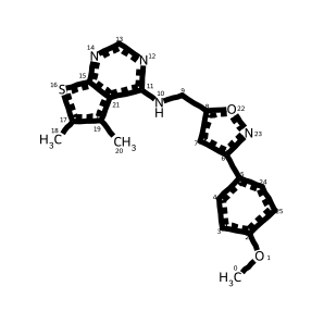 COc1ccc(-c2cc(CNc3ncnc4sc(C)c(C)c34)on2)cc1